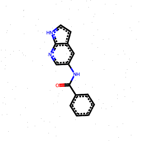 O=C(Nc1cnc2[nH]ccc2c1)c1ccccc1